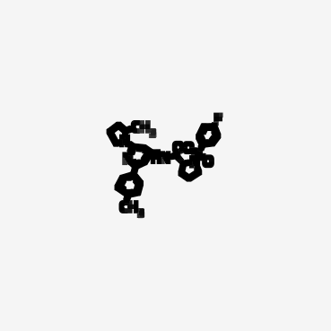 Cc1ccc(-c2cc(CNC(=O)[C@@H]3CCCN3S(=O)(=O)c3ccc(F)cc3)cc(N3CCCC3C)n2)cc1